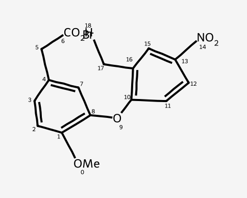 COc1ccc(CC(=O)O)cc1Oc1ccc([N+](=O)[O-])cc1CBr